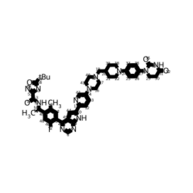 Cc1cc(-c2ncnc3[nH]c(-c4ccc(N5CCN(CC6CCN(c7ccc(N8CCC(=O)NC8=O)cc7)CC6)CC5)cn4)cc23)c(F)cc1[C@@H](C)NC(=O)c1noc(C(C)(C)C)n1